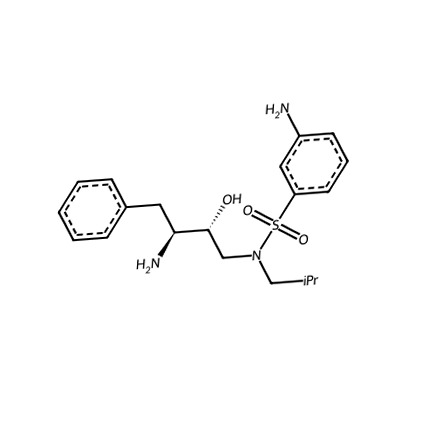 CC(C)CN(C[C@@H](O)[C@@H](N)Cc1ccccc1)S(=O)(=O)c1cccc(N)c1